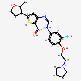 CC1OCCC1c1cc(/N=C\Nc2ccc(OCCN3CCCC3)c(F)c2)c(C=O)s1